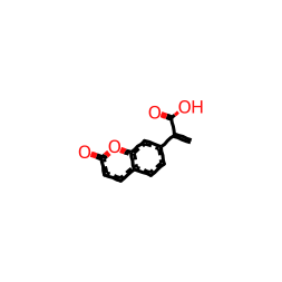 C=C(C(=O)O)c1ccc2ccc(=O)oc2c1